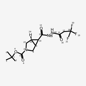 CC(C)(C)OC(=O)N1CC2C(C(=O)NNC(=O)CC(F)(F)F)[C@H]2C1